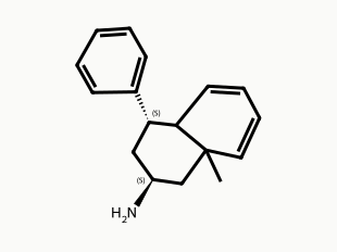 CC12C=CC=CC1[C@@H](c1ccccc1)C[C@H](N)C2